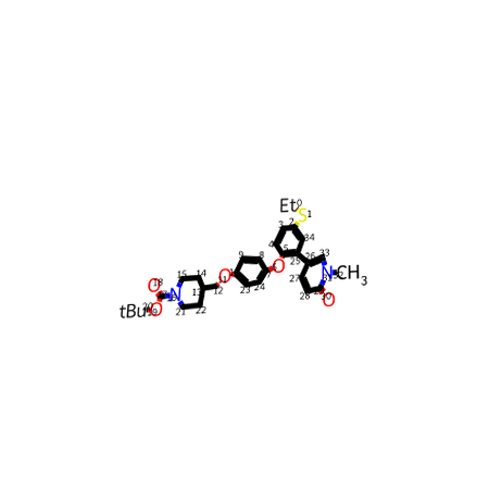 CCSc1ccc(Oc2ccc(OCC3CCN(C(=O)OC(C)(C)C)CC3)cc2)c(-c2ccc(=O)n(C)c2)c1